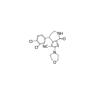 N#Cc1c(N2CCOCC2)sc2c1C(c1ccc(Cl)c(Cl)c1)CCNC2=O